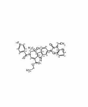 CCOC(=O)C1=CN(C(=O)c2ccc(F)cc2)CC(C)(C)c2c1[nH]c1cc(N(C)C(=O)N(CC)c3ccccn3)ccc21